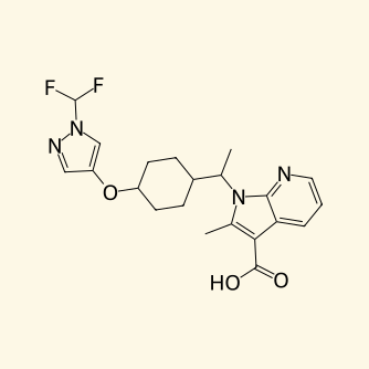 Cc1c(C(=O)O)c2cccnc2n1C(C)C1CCC(Oc2cnn(C(F)F)c2)CC1